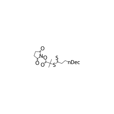 CCCCCCCCCCCCC(=S)SC(C)(C)C(=O)ON1C(=O)CCC1=O